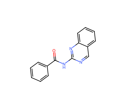 O=C(Nc1ncc2ccccc2n1)c1ccccc1